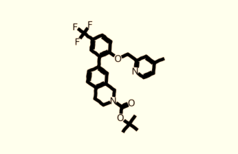 Cc1ccnc(COc2ccc(C(F)(F)F)cc2-c2ccc3c(c2)CN(C(=O)OC(C)(C)C)CC3)c1